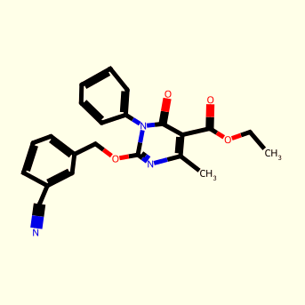 CCOC(=O)c1c(C)nc(OCc2cccc(C#N)c2)n(-c2ccccc2)c1=O